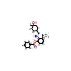 CC1(O)CCC(CNc2c(OC(=O)c3ccccc3)cccc2[N+](=O)[O-])CC1